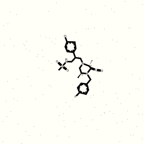 C[C@@H]1C(=C=O)N(Cc2ccc(F)cc2)[C@@H](C)CN1CC(CNS(C)(=O)=O)c1ccc(Cl)cc1